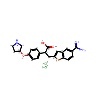 Cl.Cl.N=C(N)c1ccc2sc(CC(C(=O)O)c3ccc(O[C@H]4CCNC4)cc3)cc2c1